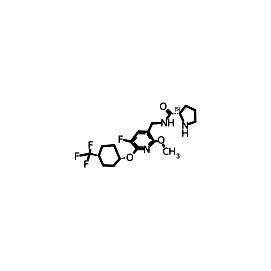 COc1nc(O[C@H]2CC[C@H](C(F)(F)F)CC2)c(F)cc1CNC(=O)[C@@H]1CCCN1